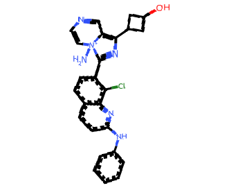 N[N+]12C=CN=CC1=C(C1CC(O)C1)N=C2c1ccc2ccc(Nc3ccccc3)nc2c1Cl